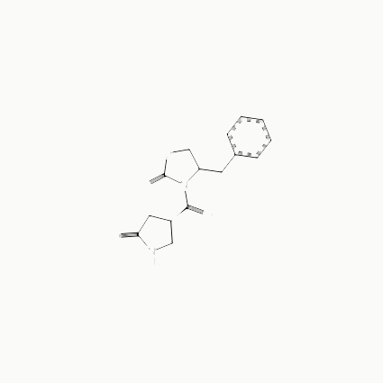 C[C@@H]1NC(=O)C[C@H]1C(=O)N1C(=O)OCC1Cc1ccccc1